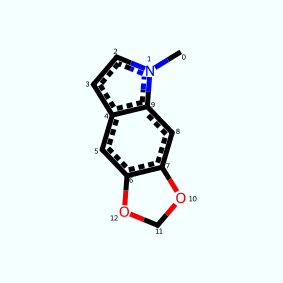 Cn1ccc2cc3c(cc21)OCO3